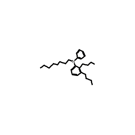 CCCCCCCCN(c1ccccc1)c1cccc(CCCC)c1CCCC